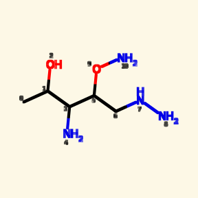 CC(O)C(N)C(CNN)ON